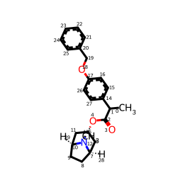 CC(C(=O)O[C@@H]1C[C@H]2CC[C@@H](C1)N2C)c1ccc(OCc2ccccc2)cc1